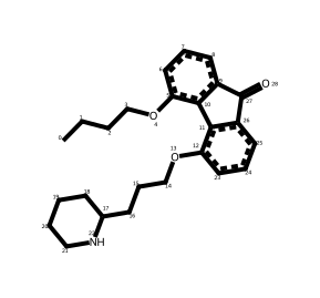 CCCCOc1cccc2c1-c1c(OCCCC3CCCCN3)cccc1C2=O